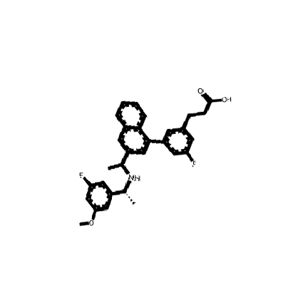 COc1cc(F)cc([C@@H](C)NC(C)c2cc(-c3cc(F)cc(CCC(=O)O)c3)c3ccccc3c2)c1